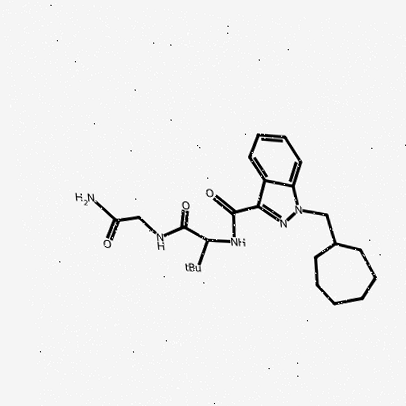 CC(C)(C)C(NC(=O)c1nn(CC2CCCCCC2)c2ccccc12)C(=O)NCC(N)=O